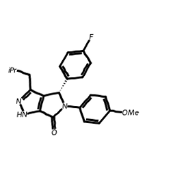 COc1ccc(N2C(=O)c3[nH]nc(CC(C)C)c3[C@@H]2c2ccc(F)cc2)cc1